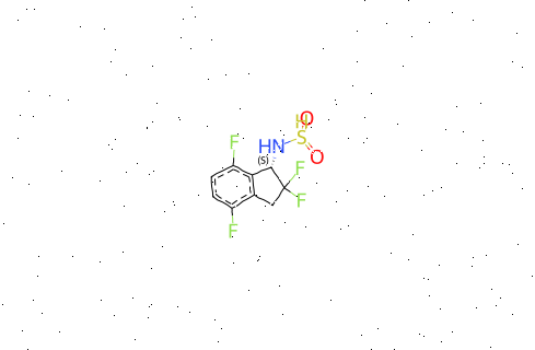 O=[SH](=O)N[C@H]1c2c(F)ccc(F)c2CC1(F)F